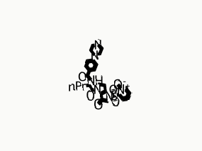 CCCC(NC(=O)c1ccc(N2CCN(C)CC2)cc1)C(=O)N1CCC2C1C(=O)CN2S(=O)(=O)c1cccc[n+]1[O-]